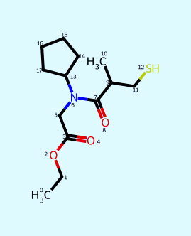 CCOC(=O)CN(C(=O)C(C)CS)C1CCCC1